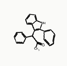 O=C(C(c1ccccc1)c1c(-c2ccccc2)[nH]c2ccccc12)C(F)(F)F